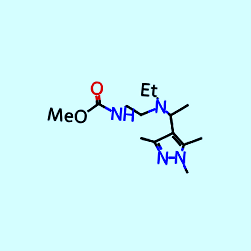 CCN(CCNC(=O)OC)C(C)c1c(C)nn(C)c1C